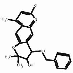 Cc1cc(Cl)nc2cc3c(cc12)OC(C)(C)C(O)C3NCc1ccccc1